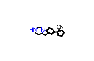 N#Cc1ccccc1-c1ccc2c(c1)CC1CCNCCN21